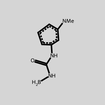 BNC(=O)Nc1cccc(NC)c1